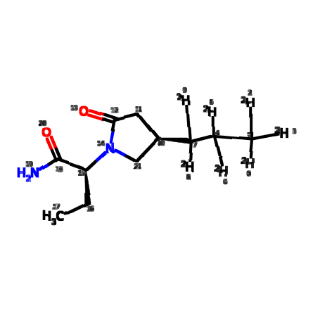 [2H]C([2H])([2H])C([2H])([2H])C([2H])([2H])[C@@H]1CC(=O)N([C@@H](CC)C(N)=O)C1